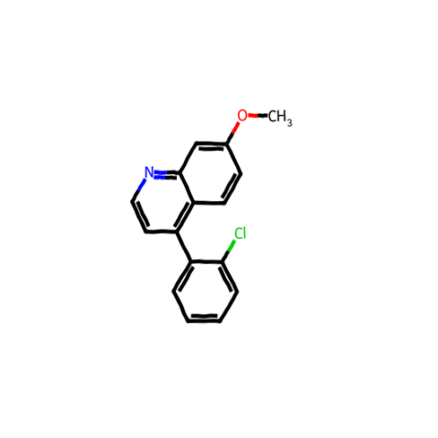 COc1ccc2c(-c3ccccc3Cl)ccnc2c1